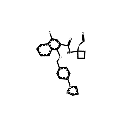 O=COC1(NC(=O)c2cc(Cl)c3ccccc3c2OCc2ccc(-n3cccn3)cc2)CCC1